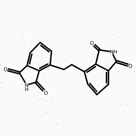 O=C1NC(=O)c2c(CCc3cccc4c3C(=O)NC4=O)cccc21